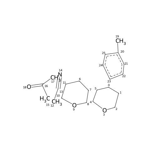 C1CCOCC1.C1CCOCC1.CC#N.CC(C)=O.Cc1ccccc1